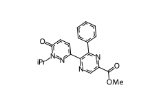 COC(=O)c1cnc(-c2ccc(=O)n(C(C)C)n2)c(-c2ccccc2)n1